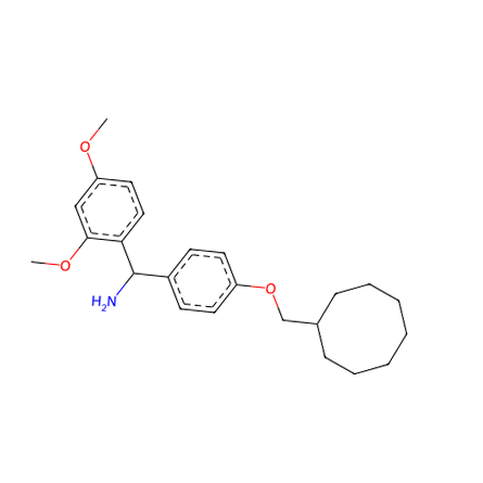 COc1ccc(C(N)c2ccc(OCC3CCCCCCC3)cc2)c(OC)c1